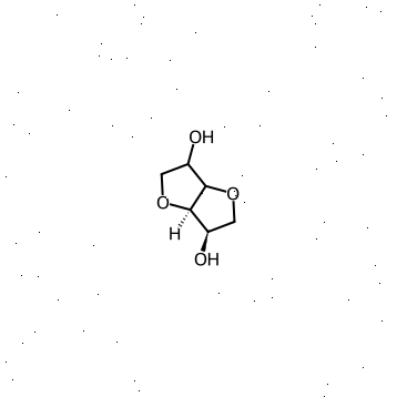 OC1CO[C@H]2C1OC[C@H]2O